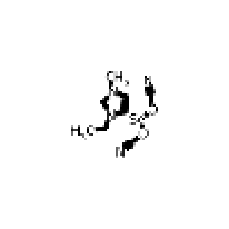 CCN1C=CN(C)C1.N#CO[Se]OC#N